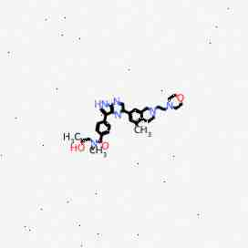 Cc1cc(-c2cnc3[nH]cc(-c4ccc(C(=O)N(C)C[C@@H](C)O)cc4)c3n2)cc2c1CCN(CCN1CCOCC1)C2